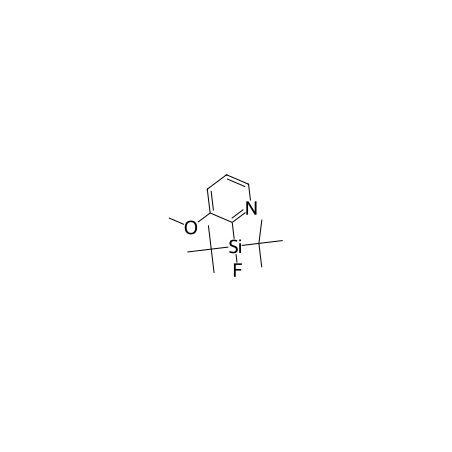 COc1cccnc1[Si](F)(C(C)(C)C)C(C)(C)C